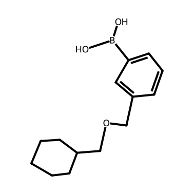 OB(O)c1cccc(COCC2CCCCC2)c1